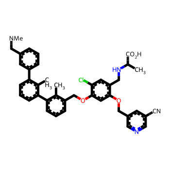 CNCc1cccc(-c2cccc(-c3cccc(COc4cc(OCc5cncc(C#N)c5)c(CNC(C)C(=O)O)cc4Cl)c3C)c2C)c1